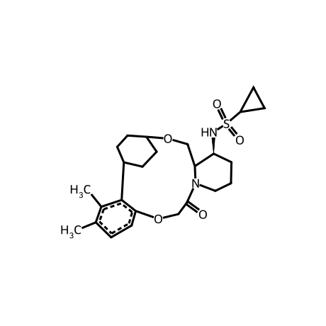 Cc1ccc2c(c1C)C1CCC(CC1)OCC1[C@@H](NS(=O)(=O)C3CC3)CCCN1C(=O)CO2